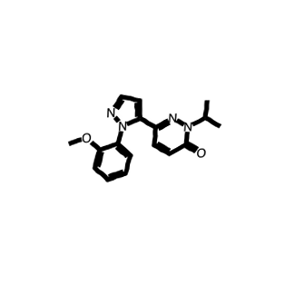 COc1ccccc1-n1nccc1-c1ccc(=O)n(C(C)C)n1